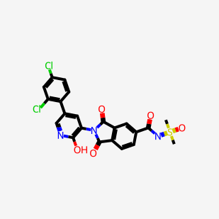 CS(C)(=O)=NC(=O)c1ccc2c(c1)C(=O)N(c1cc(-c3ccc(Cl)cc3Cl)cnc1O)C2=O